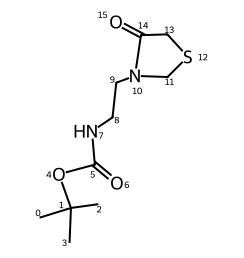 CC(C)(C)OC(=O)NCCN1CSCC1=O